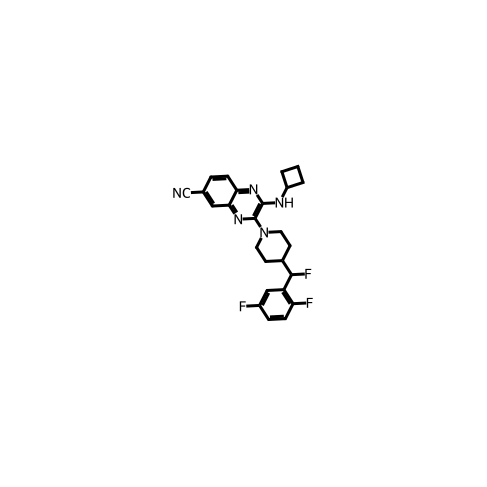 N#Cc1ccc2nc(NC3CCC3)c(N3CCC(C(F)c4cc(F)ccc4F)CC3)nc2c1